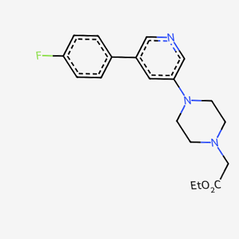 CCOC(=O)CN1CCN(c2cncc(-c3ccc(F)cc3)c2)CC1